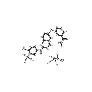 CNC(=O)c1cc(Oc2ccc3nc(Nc4ccc(Cl)c(C(F)(F)F)c4)nnc3c2)ccn1.O=C(O)C(F)(F)F